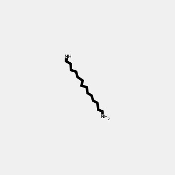 N=CCCCCCCCCCCCCCN